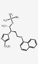 CCOC(=O)c1cn([C@H](CCSc2cccc3ccccc23)[C@H](C)O[Si](C)(C)C(C)(C)C)cn1